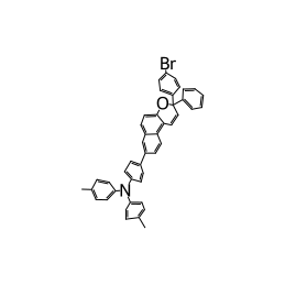 Cc1ccc(N(c2ccc(C)cc2)c2ccc(-c3ccc4c5c(ccc4c3)OC(c3ccccc3)(c3ccc(Br)cc3)C=C5)cc2)cc1